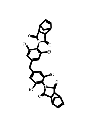 CCc1cc(Cc2cc(CC)c(N3C(=O)C4C5C=CC(C5)C4C3=O)c(CC)c2)cc(CC)c1N1C(=O)C2C3C=CC(C3)C2C1=O